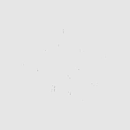 Cc1nc(NC2CN(C(=O)c3ccc(C(F)(F)F)s3)C2)nc2c1NC(=O)C(C(C)C)N2C